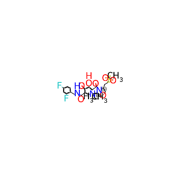 C[C@H]1OC[C@H](CCS(C)(=O)=O)N1C(=O)c1c(O)c(=O)c(C(=O)NCc2ccc(F)cc2F)cn1C